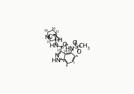 CS(=O)(=O)Nc1cccc2[nH]nc(C(=O)N[C@@H]3CN4CCC3CC4)c12